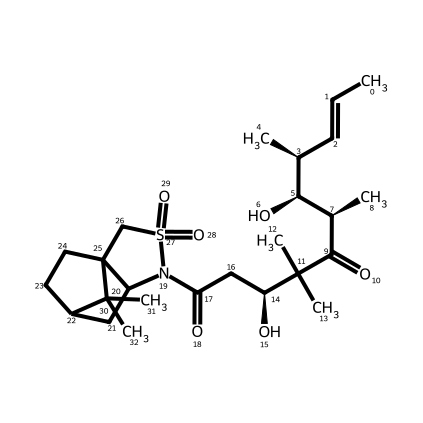 C/C=C/[C@H](C)[C@H](O)[C@@H](C)C(=O)C(C)(C)[C@@H](O)CC(=O)N1C2CC3CCC2(CS1(=O)=O)C3(C)C